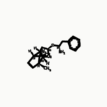 CC1(C)[C@@H]2CC[C@@]1(C)[C@H]1O[C@H](O[C@@H](N)Cc3ccccc3)C[C@@H]21